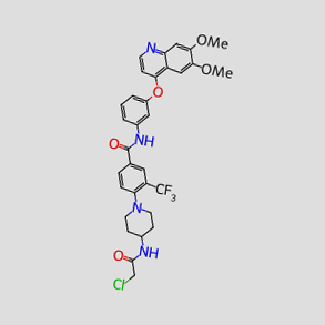 COc1cc2nccc(Oc3cccc(NC(=O)c4ccc(N5CCC(NC(=O)CCl)CC5)c(C(F)(F)F)c4)c3)c2cc1OC